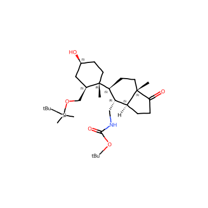 CC(C)(C)OC(=O)NC[C@@H]1[C@@H]([C@@]2(C)CC[C@H](O)C[C@@H]2CO[Si](C)(C)C(C)(C)C)CC[C@]2(C)C(=O)CC[C@@H]12